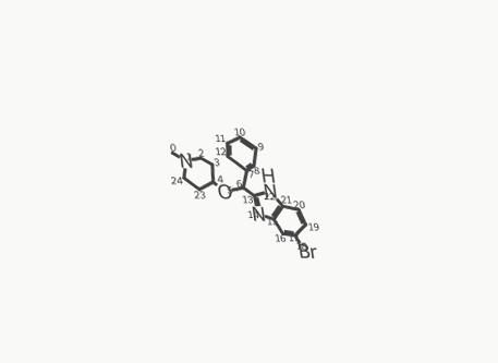 CN1CCC(OC(c2ccccc2)c2nc3cc(Br)ccc3[nH]2)CC1